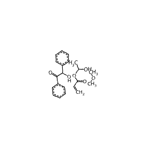 C=CC(=O)OC(C)O.COC.O=C(c1ccccc1)C(O)c1ccccc1